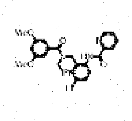 COc1cc(OC)cc(C(=O)N(Cc2cc(Cl)ccc2NC(=O)c2ccccn2)CC(C)C)c1